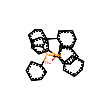 O[PH](c1ccccc1)(c1ccccc1)c1ccccc1-c1ccccc1P(c1ccccc1)c1ccccc1